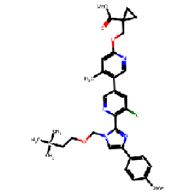 COC(=O)C1(COc2cc(C)c(-c3cnc(-c4nc(-c5ccc(OC)cc5)cn4COCC[Si](C)(C)C)c(Cl)c3)cn2)CC1